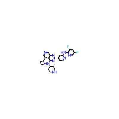 C[C@@H]1CNCC[C@@H]1Nc1nc(-c2ccnc(Nc3ncc(F)cc3F)c2)nc2cncc(C3CCC3)c12